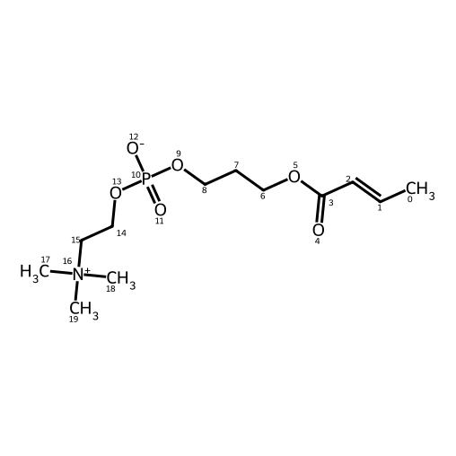 CC=CC(=O)OCCCOP(=O)([O-])OCC[N+](C)(C)C